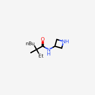 CCCCC(C)(CC)C(=O)NC1CNC1